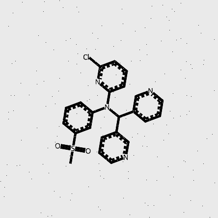 CS(=O)(=O)c1cccc(N(c2cccc(Cl)n2)C(c2cccnc2)c2cccnc2)c1